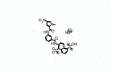 Cn1cc(N)cc1C(=O)Nc1cccc(C(=O)Nc2ccc3c(S(=O)(=O)O)cccc3c2S(=O)(=O)[O-])c1.[Cl-].[Na+].[Na+]